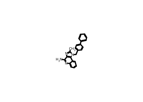 Cc1nc2c(N)nc3ccccc3c2n1Cc1ccc(-c2ccccc2)cc1